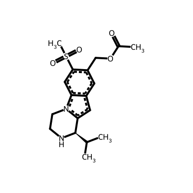 CC(=O)OCc1cc2cc3n(c2cc1S(C)(=O)=O)CCN[C@@H]3C(C)C